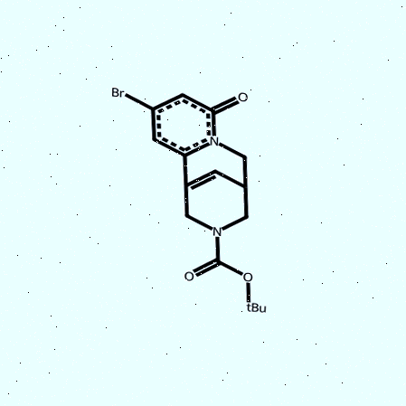 CC(C)(C)OC(=O)N1CC2=CC(C1)Cn1c2cc(Br)cc1=O